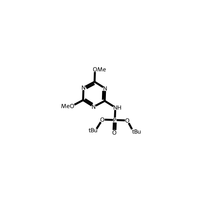 COc1nc(NP(=O)(OC(C)(C)C)OC(C)(C)C)nc(OC)n1